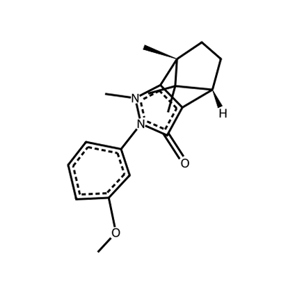 COc1cccc(-n2c(=O)c3c(n2C)[C@]2(C)CC[C@H]3C2(C)C)c1